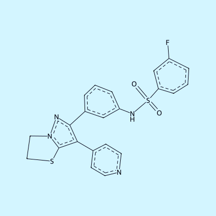 O=S(=O)(Nc1cccc(-c2nn3c(c2-c2ccncc2)SCC3)c1)c1cccc(F)c1